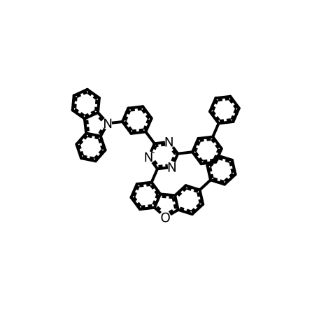 c1ccc(-c2cccc(-c3nc(-c4cccc(-n5c6ccccc6c6ccccc65)c4)nc(-c4cccc5oc6ccc(-c7ccccc7)cc6c45)n3)c2)cc1